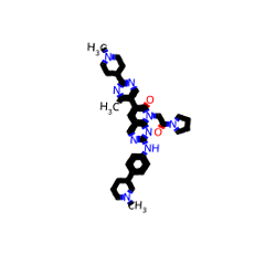 Cc1nc(C2CCN(C)CC2)ncc1-c1cc2cnc(Nc3ccc(C4CCCN(C)C4)cc3)nc2n(CC(=O)N2CCCC2)c1=O